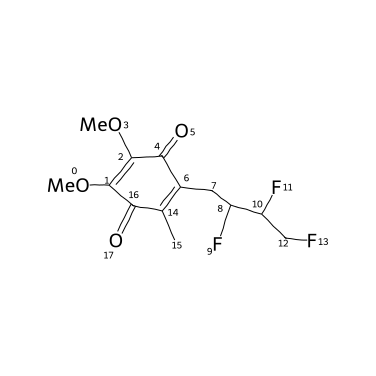 COC1=C(OC)C(=O)C(CC(F)C(F)CF)=C(C)C1=O